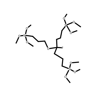 CO[Si](CCCOC(F)(CCC[Si](OC)(OC)OC)CCC[Si](OC)(OC)OC)(OC)OC